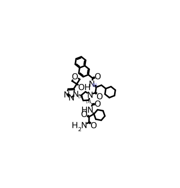 NC(=O)C(=O)C1(NC(=O)[C@@H]2C[C@H](n3nncc3C3(O)COC3)CN2C(=O)/C(CC2CCCCC2)=N/C(=O)c2ccc3ccccc3c2)CCCCC1